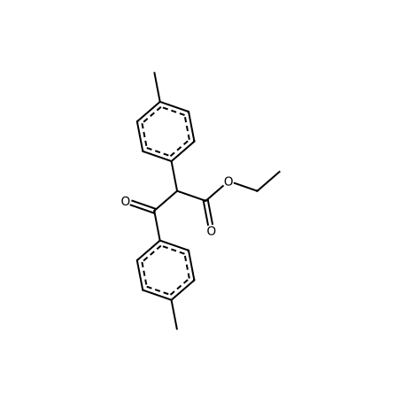 CCOC(=O)C(C(=O)c1ccc(C)cc1)c1ccc(C)cc1